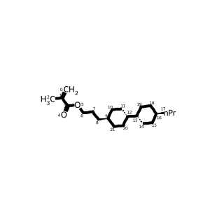 C=C(C)C(=O)OCCC[C@H]1CC[C@H]([C@H]2CC[C@H](CCC)CC2)CC1